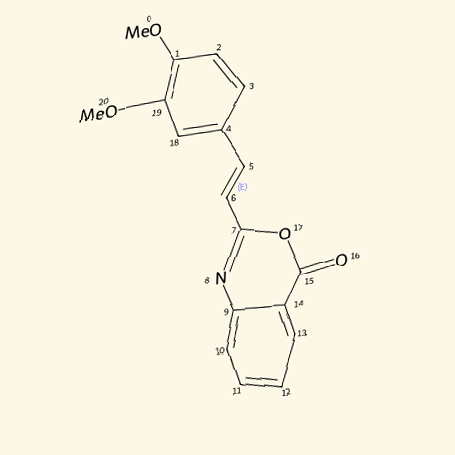 COc1ccc(/C=C/c2nc3ccccc3c(=O)o2)cc1OC